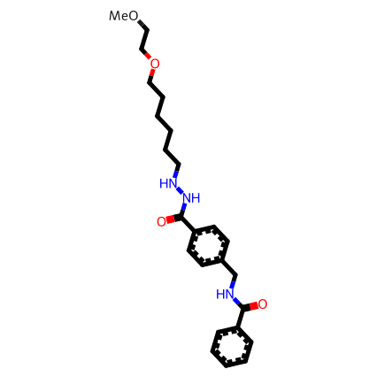 COCCOCCCCCCNNC(=O)c1ccc(CNC(=O)c2ccccc2)cc1